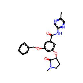 Cc1cnc(NC(=O)c2cc(OCc3ccccc3)cc(OC3CCN(C)C3=O)c2)cn1